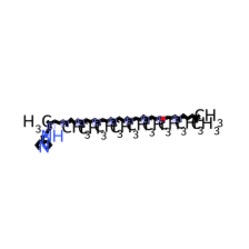 CC(C)=CCC/C(C)=C/CC/C(C)=C/CC/C(C)=C/CC/C(C)=C/CC/C(C)=C/CC/C(C)=C/CC/C(C)=C/CC/C(C)=C/CC/C(C)=C/CNCC12CCCN1CCC2